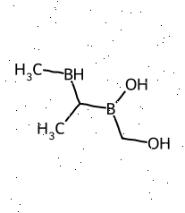 CBC(C)B(O)CO